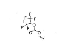 C=COC(=O)OC(C(F)(F)F)C(F)(F)F